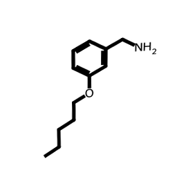 CCCCCOc1cccc(CN)c1